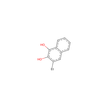 CCc1cc2ccccc2c(O)c1O